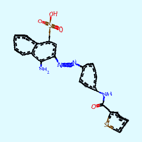 Nc1c(N=Nc2ccc(NC(=O)c3cccs3)cc2)cc(S(=O)(=O)O)c2ccccc12